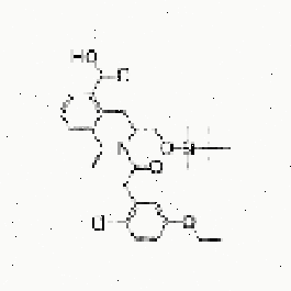 CCOc1ccc(Cl)c(CC(=O)N2[C@@H](CO[Si](C)(C)C(C)(C)C)Cc3c(C(=O)O)cccc3[C@@H]2C)c1